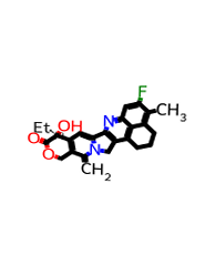 C=C1C2=C(C=C3c4nc5cc(F)c(C)c6c5c(c4CN13)CCC6)[C@@](O)(CC)C(=O)OC2